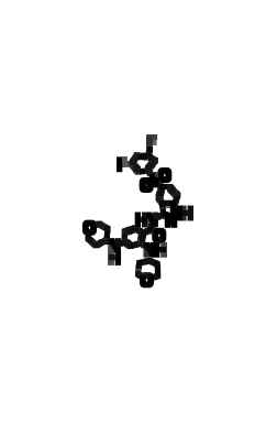 O=C(Nc1n[nH]c2ccc(S(=O)(=O)c3cc(F)cc(F)c3)cc12)c1ccc(NC2CCOCC2)cc1NC1CCOCC1